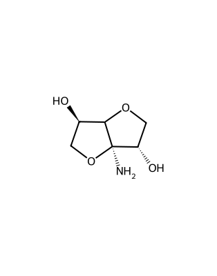 N[C@]12OC[C@@H](O)C1OC[C@@H]2O